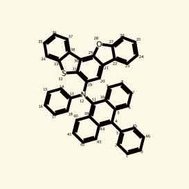 c1ccc(-c2c3ccccc3c(N(c3ccccc3)c3cc4c5ccccc5oc4c4c3sc3ccccc34)c3ccccc23)cc1